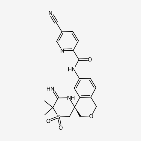 CC1(C)C(=N)N[C@@]2(COCc3ccc(NC(=O)c4ccc(C#N)cn4)cc32)CS1(=O)=O